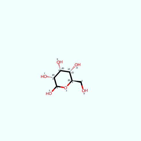 OC[C@H]1O[C](O)[C@H](O)[C@H](O)[C@@H]1O